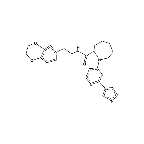 O=C(NCCc1ccc2c(c1)OCCO2)C1CCCCCN1c1ccnc(-n2ccnc2)n1